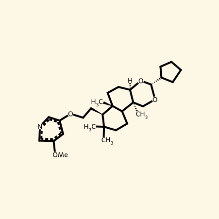 COc1cncc(OCC[C@@H]2C(C)(C)CCC3[C@]4(C)CO[C@@H](C5CCCC5)O[C@@H]4CC[C@]32C)c1